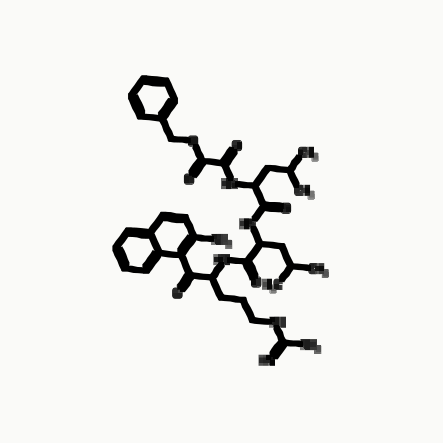 CC(C)CC(NC(=O)C(=O)OCc1ccccc1)C(=O)NC(CC(C)C)C(=O)NC(CCCNC(=N)N)C(=O)c1c(N)ccc2ccccc12